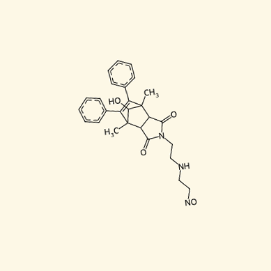 CC12C(c3ccccc3)=C(c3ccccc3)C(C)(C3C(=O)N(CCNCCN=O)C(=O)C31)C2O